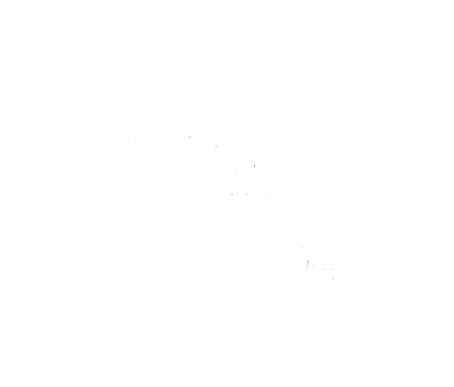 Cc1cc(/C=C/C(=O)OCCCCO[N+](=O)[O-])ccc1C(C)C